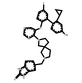 N#Cc1ccc(-c2cc(F)ccc2Oc2cncnc2N2CCC3(CCN(Cc4ccc5[nH]c(=O)[nH]c5c4)C3)C2)c(C2CC2)c1